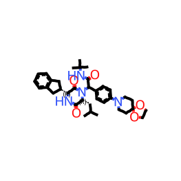 CC(C)C[C@@H]1C(=O)N[C@H](C2Cc3ccccc3C2)C(=O)N1C(C(=O)NC(C)(C)C)c1ccc(N2CCC3(CC2)OCCO3)cc1